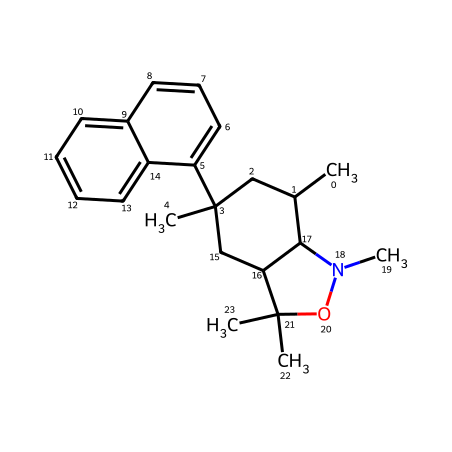 CC1CC(C)(c2cccc3ccccc23)CC2C1N(C)OC2(C)C